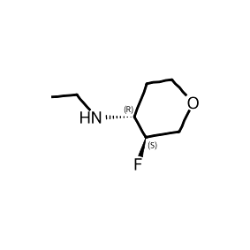 CCN[C@@H]1CCOC[C@H]1F